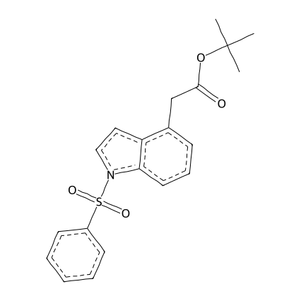 CC(C)(C)OC(=O)Cc1cccc2c1ccn2S(=O)(=O)c1ccccc1